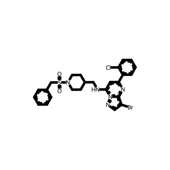 O=S(=O)(Cc1ccccc1)N1CCC(CNc2cc(-c3ccccc3Cl)nc3c(Br)cnn23)CC1